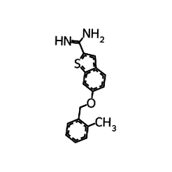 Cc1ccccc1COc1ccc2cc(C(=N)N)sc2c1